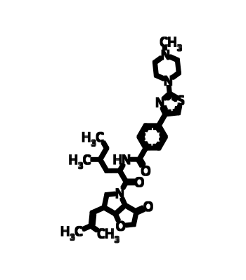 CCC(C)CC(NC(=O)c1ccc(-c2csc(N3CCN(C)CC3)n2)cc1)C(=O)N1CC(C=C(C)C)C2OCC(=O)C21